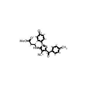 COC(=O)CCNc1c(C#N)c(C(=O)c2ccc(C)cc2)nn1-c1ccc(Cl)cc1